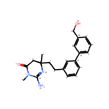 CN1C(=O)CC(C)(CCc2cccc(-c3cccc(CO)c3)c2)N=C1N